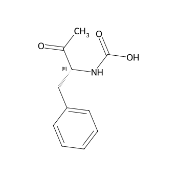 CC(=O)[C@@H](Cc1ccccc1)NC(=O)O